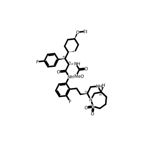 CCO[C@H]1CC[C@H]([C@H](c2ccc(F)cc2)[C@H](NC(=O)OC)C(=O)Nc2cccc(F)c2CC[C@H]2CN[C@@H]3CCCS(=O)(=O)N2C3)CC1